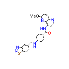 COc1ccc2nccc(NC(=O)[C@H]3CC[C@H](NCc4ccc5snnc5c4)CC3)c2n1